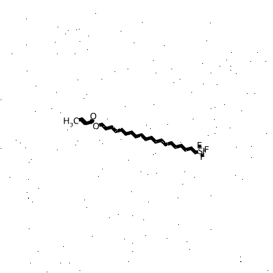 CC=CC(=O)OCCCCCCCCCCCCCCCCCCCC[Si](F)(F)F